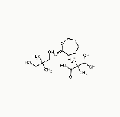 CC(C)(C(=O)O)C(O)O.CC(C)(CO)CO.O=C1CCCCCO1